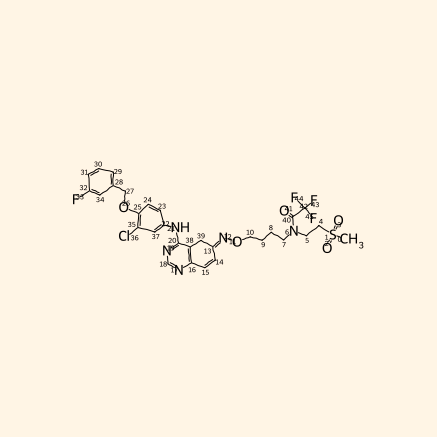 CS(=O)(=O)CCN(CCCCON=C1C=Cc2ncnc(Nc3ccc(OCc4cccc(F)c4)c(Cl)c3)c2C1)C(=O)C(F)(F)F